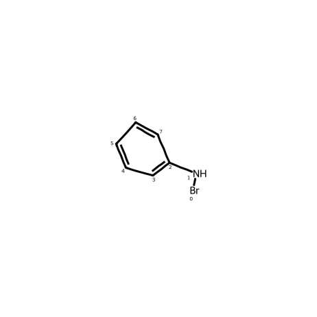 BrNc1cc[c]cc1